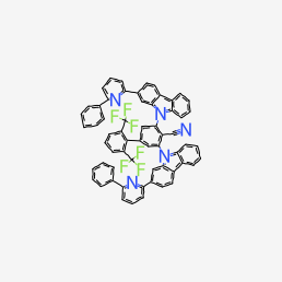 N#Cc1c(-n2c3ccccc3c3ccc(-c4cccc(-c5ccccc5)n4)cc32)cc(-c2c(C(F)(F)F)cccc2C(F)(F)F)cc1-n1c2ccccc2c2ccc(-c3cccc(-c4ccccc4)n3)cc21